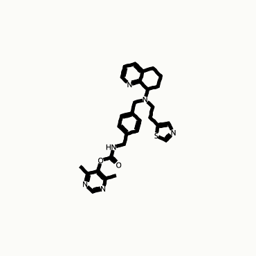 Cc1ncnc(C)c1OC(=O)NCc1ccc(CN(CCc2cncs2)C2CCCc3cccnc32)cc1